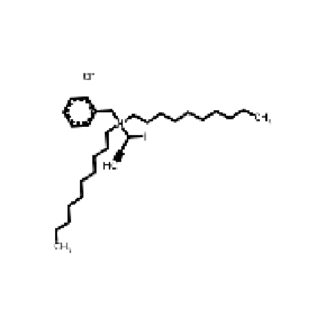 C#CC(I)[N+](CCCCCCCCCC)(CCCCCCCCCC)Cc1ccccc1.[Cl-]